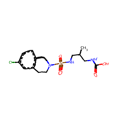 CC(CNC(=O)O)CNS(=O)(=O)N1CCc2cc(Cl)ccc2C1